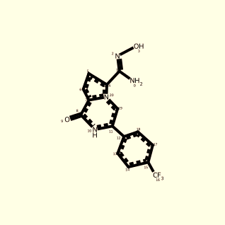 N/C(=N\O)c1ccc2c(=O)[nH]c(-c3ccc(C(F)(F)F)cc3)cn12